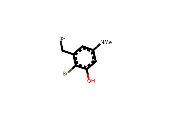 CNc1cc(O)c(Br)c(CC(C)C)c1